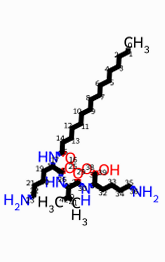 CCCCCCCCCCCCCCCC(=O)NC(CCCCN)C(=O)NC(C(=O)NC(CCCCN)C(=O)O)C(C)C